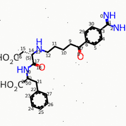 N=C(N)c1ccc(C(=O)CCCCN[C@@H](CC(=O)O)C(=O)N[C@@H](Cc2ccccc2)C(=O)O)cc1